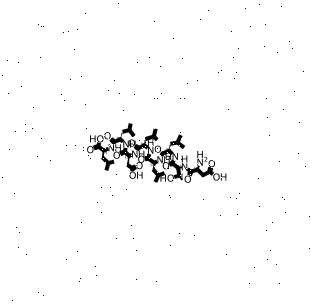 CC(C)C[C@H](NC(=O)[C@H](CC(C)C)NC(=O)[C@H](CC(=O)O)NC(=O)[C@H](CC(C)C)NC(=O)[C@H](CC(C)C)NC(=O)[C@H](CC(C)C)NC(=O)[C@@H](NC(=O)[C@@H](N)CC(=O)O)[C@@H](C)O)C(=O)O